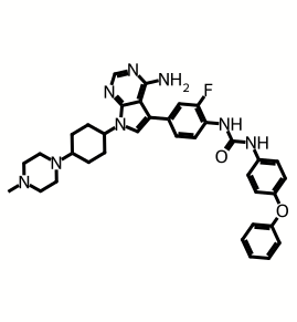 CN1CCN(C2CCC(n3cc(-c4ccc(NC(=O)Nc5ccc(Oc6ccccc6)cc5)c(F)c4)c4c(N)ncnc43)CC2)CC1